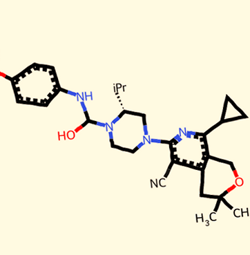 CCOc1ccc(NC(O)N2CCN(c3nc(C4CC4)c4c(c3C#N)CC(C)(C)OC4)C[C@H]2C(C)C)cc1